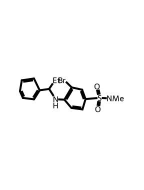 CCC(Nc1ccc(S(=O)(=O)NC)cc1Br)c1ccccc1